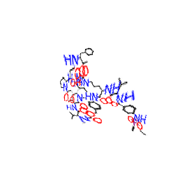 C#CP(=O)(Nc1ccc(C(=O)N[C@@H](C(=O)N[C@H](CCCNC(N)=O)C(=O)Nc2ccc(COC(=O)N(C)[C@H](C(=O)N[C@H](C(=O)N(C)[C@@H](C(C)CC)[C@@H](CC(=O)N3CCC[C@H]3[C@H](O)CC(=O)N[C@@H](Cc3ccccc3)C(C)=O)OC)C(C)C)C(C)C)cc2)C(C)C)cc1)OCC